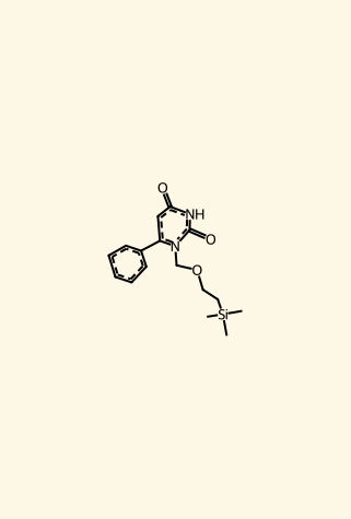 C[Si](C)(C)CCOCn1c(-c2ccccc2)cc(=O)[nH]c1=O